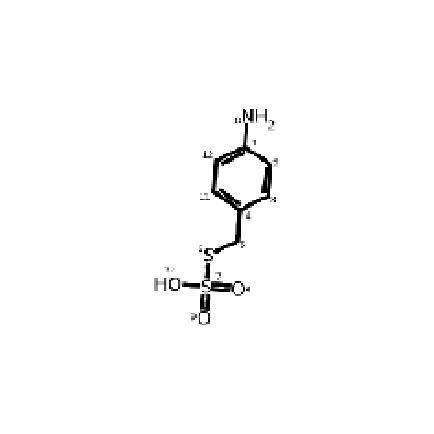 Nc1ccc(CSS(=O)(=O)O)cc1